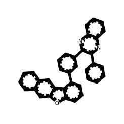 c1ccc(-c2nc3ccccc3nc2-c2cccc(-c3cccc4oc5cc6ccccc6cc5c34)c2)cc1